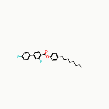 CCCCCCCCc1ccc(OC(=O)c2ccc(-c3ccc(F)cc3)cc2F)cc1